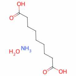 N.O.O=C(O)CCCCCCCC(=O)O